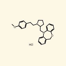 COc1ccc(CCN2CCCC2CN2c3ccccc3COc3ccccc32)cc1.Cl